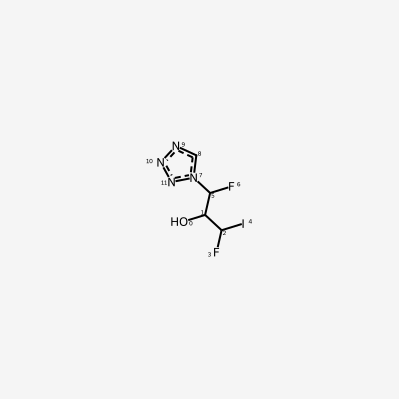 OC(C(F)I)C(F)n1cnnn1